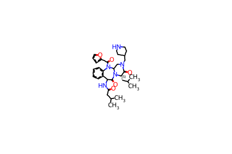 CC(C)CC(=O)NC1C(=O)N2C(CN(CC3CCNCC3)C(=O)[C@@H]2CC(C)C)N(C(=O)c2ccco2)c2ccccc21